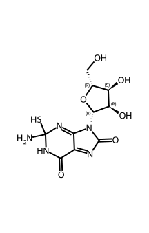 NC1(S)N=C2C(=NC(=O)N2[C@@H]2O[C@H](CO)[C@@H](O)[C@H]2O)C(=O)N1